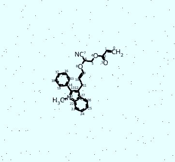 C=CC(=O)OCC(C#N)OC=CCc1c(-c2ccccc2)n(C)c2ccccc12